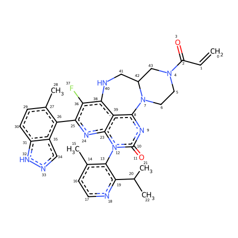 C=CC(=O)N1CCN2c3nc(=O)n(-c4c(C)ccnc4C(C)C)c4nc(-c5c(C)ccc6[nH]ncc56)c(F)c(c34)NCC2C1